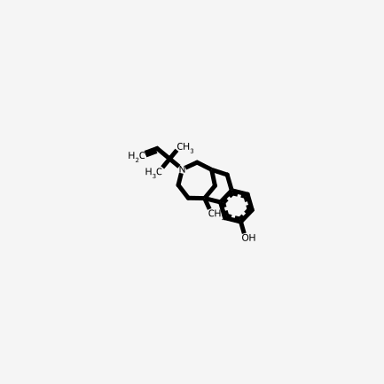 C=CC(C)(C)N1CCC2(C)CC(Cc3ccc(O)cc32)C1